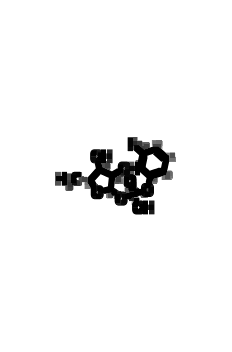 C[C@H]1O[C@H](OP(=O)(O)Oc2cccc(F)c2)C(O)C1O